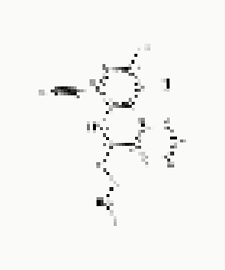 CNCCC(Nc1cc(Cl)c(F)cc1C#N)c1ccccc1